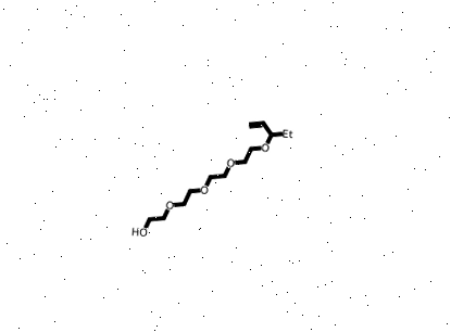 C=CC(CC)OCCOCCOCCOCCO